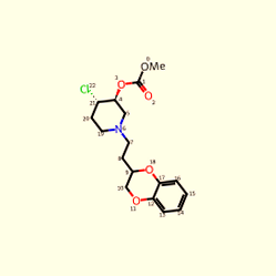 COC(=O)O[C@H]1CN(CCC2COc3ccccc3O2)CC[C@@H]1Cl